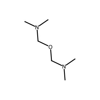 CN(C)COCN(C)C